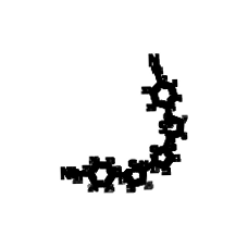 N#Cc1ccc(-c2ccc(-c3ccc(-c4ccc(-c5ccc(C#N)cc5)s4)s3)s2)cc1